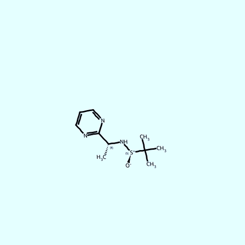 C[C@@H](N[S@+]([O-])C(C)(C)C)c1ncccn1